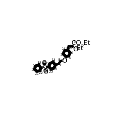 CCOC(=O)[C@H](Cc1ccc(OCCc2ccc(S(=O)(=O)c3ccccc3)cc2)cc1)OCC